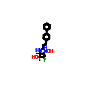 C=C(NO)[C@@](C)(NC/C=C/c1ccc(-c2ccccc2)cc1)[C@](C)(O)CF